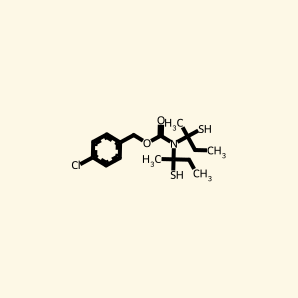 CCC(C)(S)N(C(=O)OCc1ccc(Cl)cc1)C(C)(S)CC